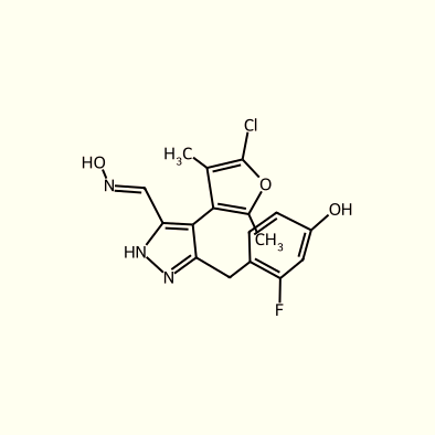 Cc1oc(Cl)c(C)c1-c1c(Cc2ccc(O)cc2F)n[nH]c1C=NO